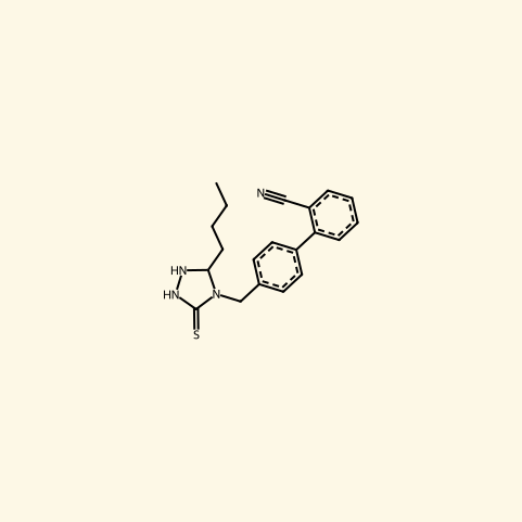 CCCCC1NNC(=S)N1Cc1ccc(-c2ccccc2C#N)cc1